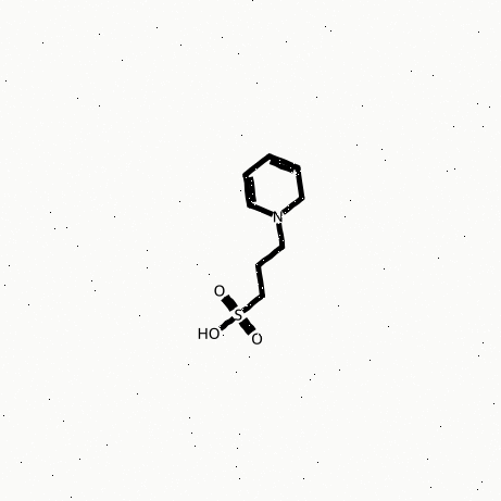 O=S(=O)(O)CCCN1C=CC=CC1